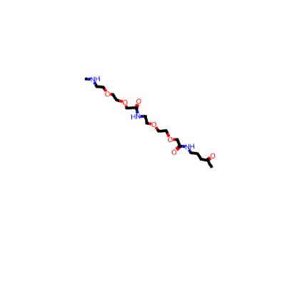 CNCCOCCOCC(=O)NCCOCCOCC(=O)NCCCC(C)=O